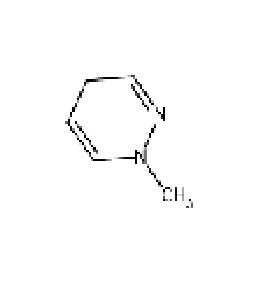 CN1C=CCC=N1